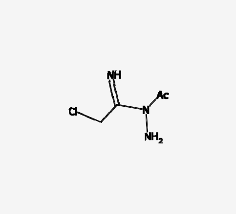 CC(=O)N(N)C(=N)CCl